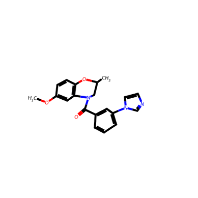 COc1ccc2c(c1)N(C(=O)c1cccc(-n3ccnc3)c1)CC(C)O2